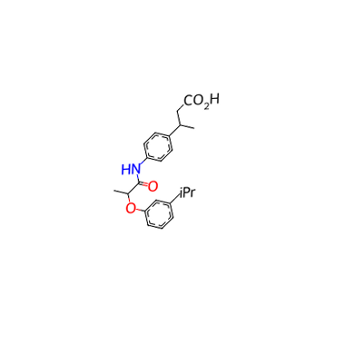 CC(Oc1cccc(C(C)C)c1)C(=O)Nc1ccc(C(C)CC(=O)O)cc1